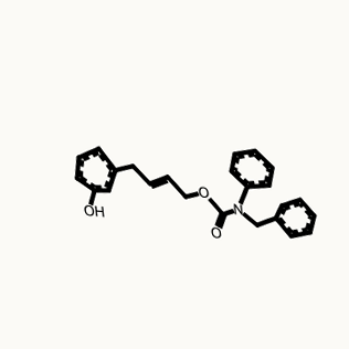 O=C(OCC=CCc1cccc(O)c1)N(Cc1ccccc1)c1ccccc1